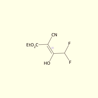 CCOC(=O)/C(C#N)=C(\O)C(F)F